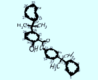 CC(C)(c1ccccc1)c1ccc(OC(=O)c2cc(C(C)(C)c3ccccc3)ccc2O)cc1